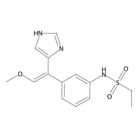 CCS(=O)(=O)Nc1cccc(C(=COC)c2c[nH]cn2)c1